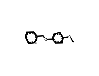 COc1ccc(OCc2ccccn2)cc1